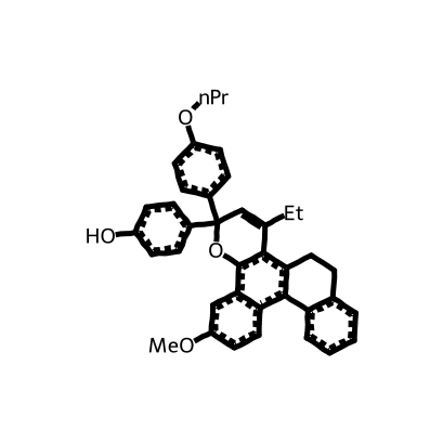 CCCOc1ccc(C2(c3ccc(O)cc3)C=C(CC)c3c4c(c5ccc(OC)cc5c3O2)-c2ccccc2CC4)cc1